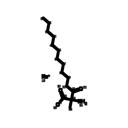 CCCCCCCCCCCC(=O)C(C)(N)C(=O)[O-].[Na+]